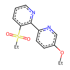 CCOc1ccc(-c2ncccc2S(=O)(=O)CC)nc1